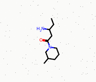 CCC(N)CC(=O)N1CCCC(C)C1